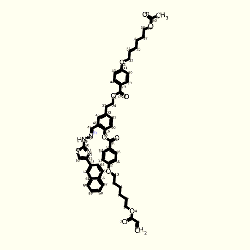 C=CC(=O)OCCCCCCOc1ccc(C(=O)Oc2ccc(CCOC(=O)c3ccc(OCCCCCCOC(C)=O)cc3)cc2/C=N/Nc2nc(-c3ccc4ccccc4c3)cs2)cc1